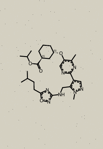 Cc1nc(-c2cnn(C)c2CNc2noc(CCC(C)C)n2)ncc1O[C@H]1CCC[C@H](C(=O)OC(C)C)C1